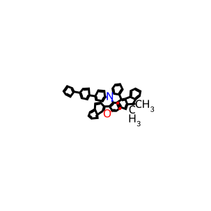 CC1(C)c2ccccc2-c2c(-c3ccccc3N(c3ccc(-c4ccc(-c5ccccc5)cc4)cc3)c3cccc4oc5c6ccccc6ccc5c34)cccc21